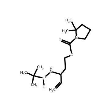 C=CC(CCOC(=O)N1CCCC1(C)C)N[S+]([O-])C(C)(C)C